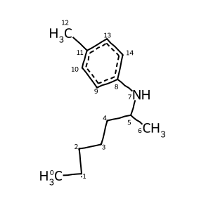 C[CH]CCCC(C)Nc1ccc(C)cc1